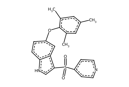 Cc1cc(C)c(Oc2ccc3[nH]cc(S(=O)(=O)c4ccncc4)c3c2)c(C)c1